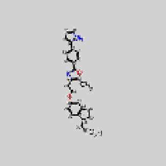 Cc1oc(-c2ccc(-c3ccc[nH]3)cc2)nc1CCOc1ccc2c(c1)CC[C@H]2CC(=O)O